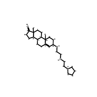 CC12CCC3C(CCC4=CC(OCCOCCN5CCCC5)CCC43C)C1CCC2=O